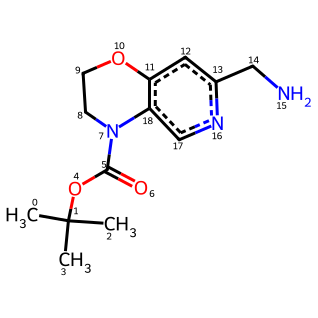 CC(C)(C)OC(=O)N1CCOc2cc(CN)ncc21